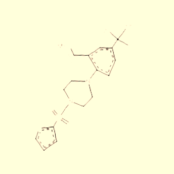 CC[C@H](OC)c1cc(C(O)(C(F)(F)F)C(F)(F)F)ccc1N1CCN(S(=O)(=O)c2cccs2)CC1